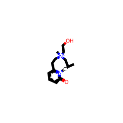 CC1Cn2c(cccc2=O)CC[N+](C)(CCO)C1